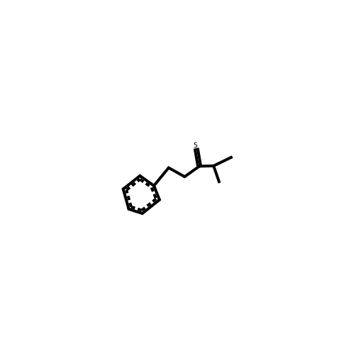 CC(C)C(=S)CCc1ccccc1